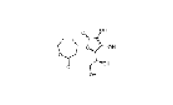 O=C1CCCCCO1.O=C1O[C@H]([C@@H](O)CO)C(O)=C1O